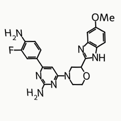 COc1ccc2[nH]c(C3CN(c4cc(-c5ccc(N)c(F)c5)nc(N)n4)CCO3)nc2c1